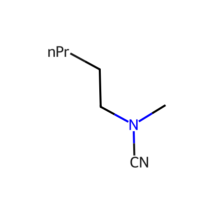 CCCCCN(C)C#N